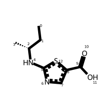 CC[C@@H](C)Nc1ncc(C(=O)O)s1